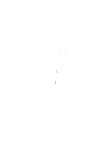 C=CC[N+](CC=C)(CCC)CCC.[OH-]